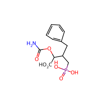 NC(=O)OC(C(=O)O)C(Cc1ccccc1)CP(=O)(O)O